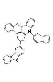 c1cc(-c2ccc3sc4ccccc4c3c2)cc(N(c2ccc3ccccc3c2)c2ccccc2-c2ccc3ccccc3c2)c1